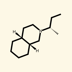 CC[C@H](C)N1CC[C@H]2CCCC[C@H]2C1